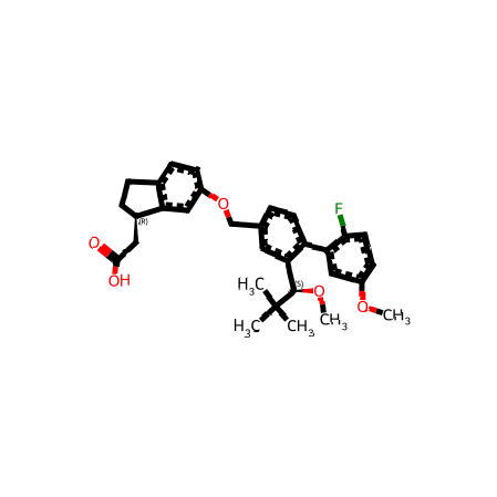 COc1ccc(F)c(-c2ccc(COc3ccc4c(c3)[C@@H](CC(=O)O)CC4)cc2[C@@H](OC)C(C)(C)C)c1